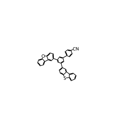 N#Cc1ccc(-c2cc(-c3ccc4oc5ccccc5c4c3)cc(-c3ccc4sc5ccccc5c4c3)c2)cc1